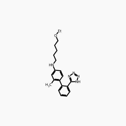 CCOCCCCCNc1ccc(-c2ccccc2-c2nnn[nH]2)c(C)c1